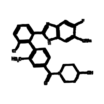 COc1cc2[nH]c(-c3cccc(Cl)c3-c3ccc(C(=O)N4CCC(O)CC4)cc3C(=O)O)nc2cc1F